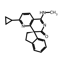 CNC1=NC(=O)[C@@]2(CCc3ccccc32)c2nc(C3CC3)ccc21